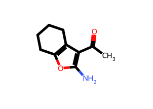 CC(=O)c1c(N)oc2c1CCCC2